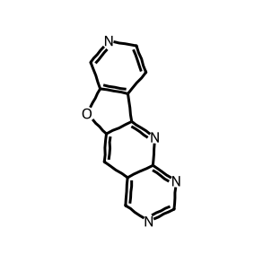 c1cc2c(cn1)oc1cc3cncnc3nc12